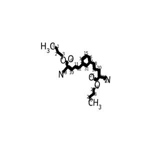 CCCCOC(=O)C(C#N)=CC=Cc1cccc(C=CC=C(C#N)C(=O)OCCCC)c1